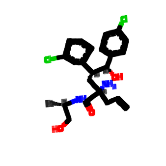 C=CC[C@@](N)(C[C@H](c1cccc(Cl)c1)[C@@H](O)c1ccc(Cl)cc1)C(=O)N[C@@H](CC)CO